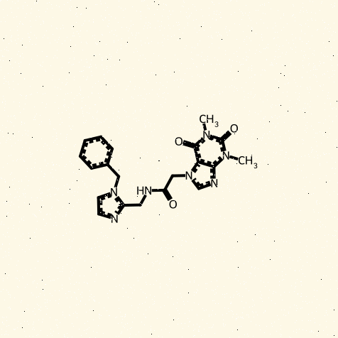 Cn1c(=O)c2c(ncn2CC(=O)NCc2nccn2Cc2ccccc2)n(C)c1=O